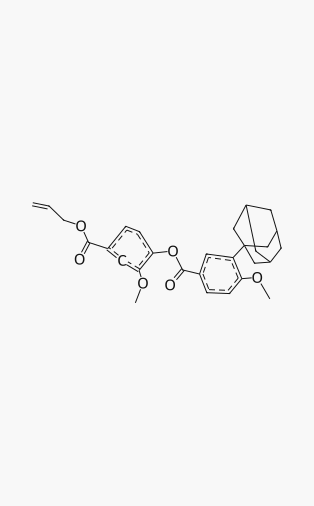 C=CCOC(=O)c1ccc(OC(=O)c2ccc(OC)c(C34CC5CC(CC(C5)C3)C4)c2)c(OC)c1